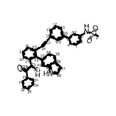 CS(=O)(=O)Nc1cccc(-c2cccc(C#Cc3cccc(C(O)C(=O)c4ccccc4)c3-c3ccc4cc[nH]c4c3)c2)c1